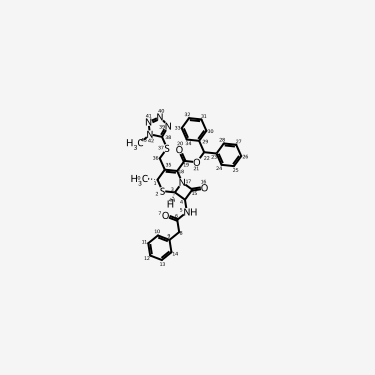 C[C@H]1S[C@@H]2C(NC(=O)Cc3ccccc3)C(=O)N2C(C(=O)OC(c2ccccc2)c2ccccc2)=C1CSc1nnnn1C